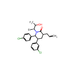 C=CCC1CC(c2cccc(Cl)c2)C(c2ccc(Cl)cc2)N([C@@H](CC)C(O)C(F)(F)F)C1=O